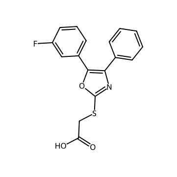 O=C(O)CSc1nc(-c2ccccc2)c(-c2cccc(F)c2)o1